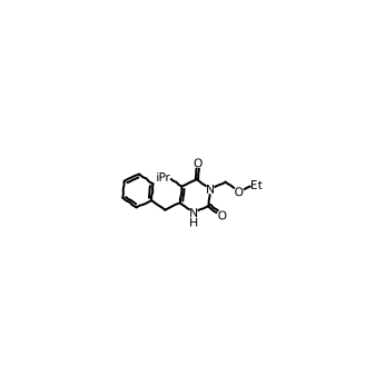 CCOCn1c(=O)[nH]c(Cc2ccccc2)c(C(C)C)c1=O